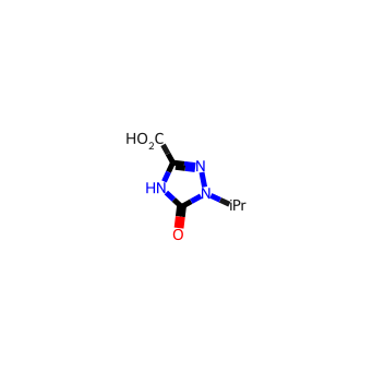 CC(C)n1nc(C(=O)O)[nH]c1=O